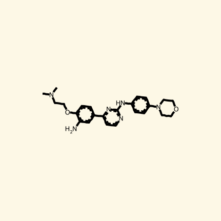 CN(C)CCOc1ccc(-c2ccnc(Nc3ccc(N4CCOCC4)cc3)n2)cc1N